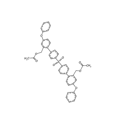 CC(=O)OCc1cc(Oc2ccccc2)ccc1-c1ccc(S(=O)(=O)c2ccc(-c3ccc(Oc4ccccc4)cc3COC(C)=O)cc2)cc1